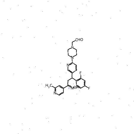 Cc1cc(/C(CC(c2ccc(N3CCN(CC=O)CC3)nc2)c2ccc(F)cc2F)=N/O)ccn1